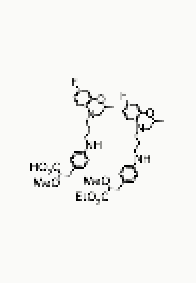 CCOC(=O)C(Cc1ccc(NCCCN2CC(C)Oc3cc(F)ccc32)cc1)OC.COC(Cc1ccc(NCCCN2CC(C)Oc3cc(F)ccc32)cc1)C(=O)O